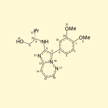 COc1ccc(-c2c(N[C@H](CO)C(C)C)nc3cccnn23)cc1OC